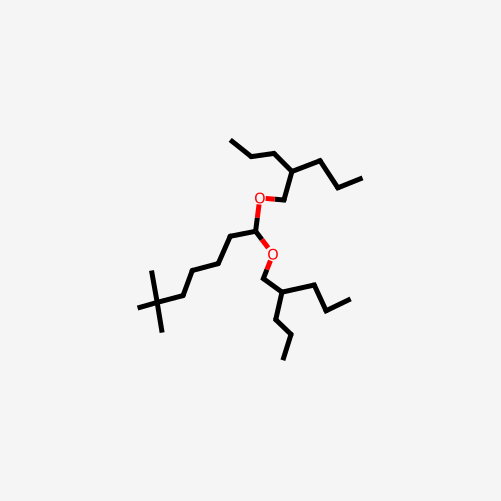 CCCC(CCC)COC(CCCCC(C)(C)C)OCC(CCC)CCC